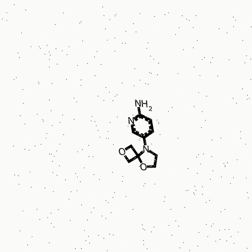 Nc1ccc(N2CCOC23COC3)cn1